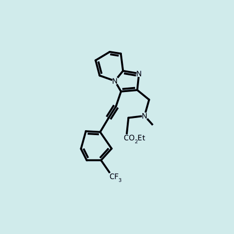 CCOC(=O)CN(C)Cc1nc2ccccn2c1C#Cc1cccc(C(F)(F)F)c1